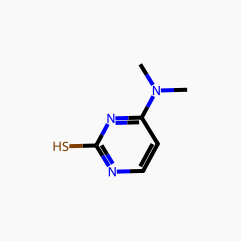 CN(C)c1ccnc(S)n1